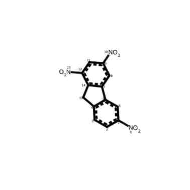 O=[N+]([O-])c1ccc2c(c1)-c1cc([N+](=O)[O-])cc([N+](=O)[O-])c1C2